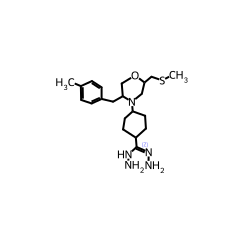 CSCC1CN(C2CCC(/C(=N/N)NN)CC2)C(Cc2ccc(C)cc2)CO1